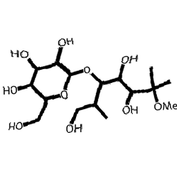 COC(C)(C)C(O)C(O)C(OC1OC(CO)C(O)C(O)C1O)C(C)CO